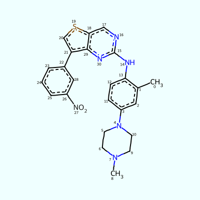 Cc1cc(N2CCN(C)CC2)ccc1Nc1ncc2scc(-c3cccc([N+](=O)[O-])c3)c2n1